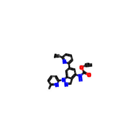 CC(=O)c1cccc(-c2cc(NC(=O)OC(C)(C)C)c3cnn(-c4cccc(C)n4)c3c2)n1